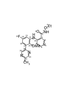 CCONC(=O)c1cnccc1Nc1cc(F)cc(-c2cnc(C)cn2)c1OC